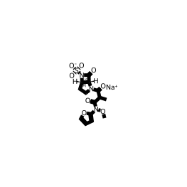 CON(C(=O)C(C)C(=O)N1CC[C@@H]2[C@H]1C(=O)N2S(=O)(=O)[O-])c1ccco1.[Na+]